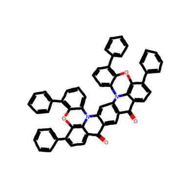 O=c1c2cc3c(=O)c4ccc(-c5ccccc5)c5oc6c(-c7ccccc7)cccc6n(c3cc2n2c3cccc(-c6ccccc6)c3oc3c(-c6ccccc6)ccc1c32)c54